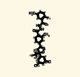 Cc1ccc(F)c(C(=O)NNC(=O)c2ccc(C3=NOC(c4cc(Cl)cc(Cl)c4)(C(F)(F)F)C3)cc2C)c1